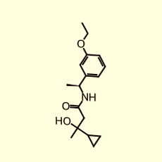 CCOc1cccc([C@H](C)NC(=O)CC(C)(O)C2CC2)c1